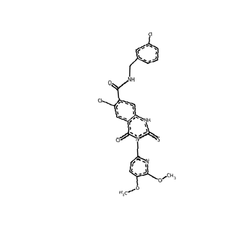 COc1ccc(-n2c(=S)[nH]c3cc(C(=O)NCc4cccc(Cl)c4)c(Cl)cc3c2=O)nc1OC